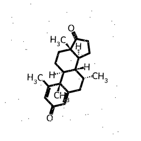 CC1=CC(=O)C=C2C[C@@H](C)[C@@H]3[C@H](CC[C@]4(C)C(=O)CC[C@@H]34)[C@@]12C